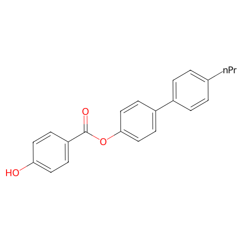 CCCc1ccc(-c2ccc(OC(=O)c3ccc(O)cc3)cc2)cc1